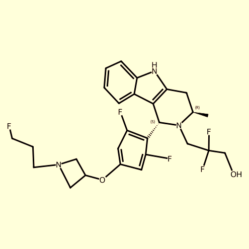 C[C@@H]1Cc2[nH]c3ccccc3c2[C@@H](c2c(F)cc(OC3CN(CCCF)C3)cc2F)N1CC(F)(F)CO